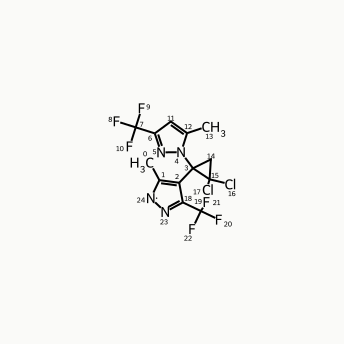 CC1=C(C2(n3nc(C(F)(F)F)cc3C)CC2(Cl)Cl)C(C(F)(F)F)=N[N]1